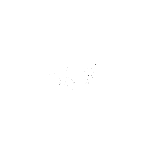 O=C(O)Oc1cn(C2CC2)c2c(F)c(N3CCNC(c4ccc(Cl)cc4)C3)c(Cl)cc2c1=O